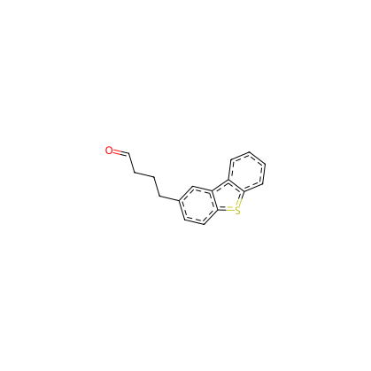 O=CCCCc1ccc2sc3ccccc3c2c1